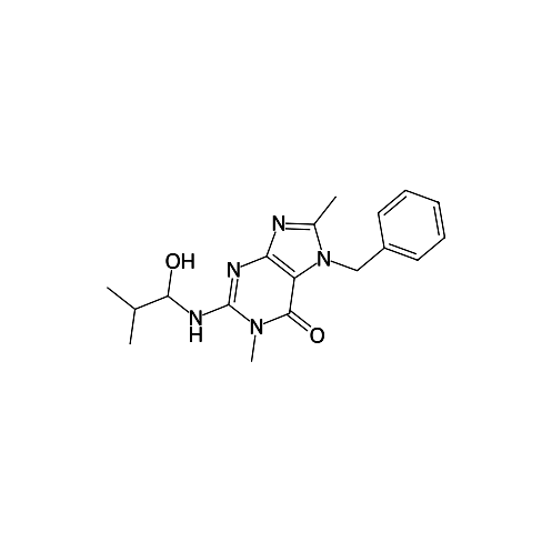 Cc1nc2nc(NC(O)C(C)C)n(C)c(=O)c2n1Cc1ccccc1